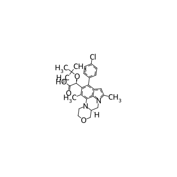 Cc1c([C@H](OC(C)(C)C)C(=O)O)c(-c2ccc(Cl)cc2)c2cc(C)n3c2c1N1CCOC[C@@H]1C3